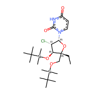 CC[C@]1(CO[Si](C)(C)C(C)(C)C)O[C@@H](n2ccc(=O)[nH]c2=O)[C@@H](Cl)[C@@H]1O[Si](C)(C)C(C)(C)C